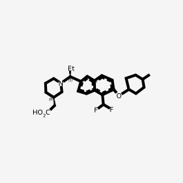 CC[C@@H](c1ccc2c(C(F)F)c(OC3CCC(C)CC3)ccc2c1)N1CCC[C@H](CC(=O)O)C1